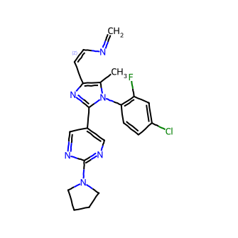 C=N/C=C\c1nc(-c2cnc(N3CCCC3)nc2)n(-c2ccc(Cl)cc2F)c1C